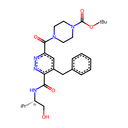 CC(C)[C@@H](CO)NC(=O)c1nnc(C(=O)N2CCN(C(=O)OC(C)(C)C)CC2)cc1Cc1ccccc1